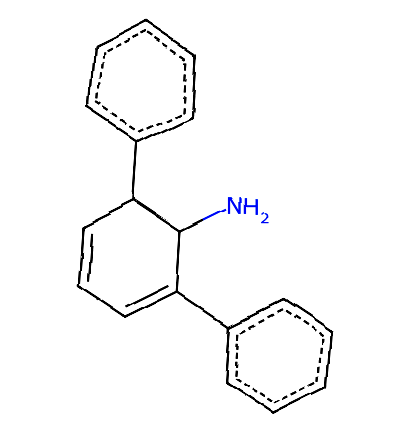 NC1C(c2ccccc2)=CC=CC1c1ccccc1